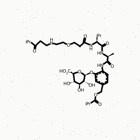 CC(C)C(=O)CCNCCOCCC(=O)N[C@H](C(=O)N[C@@H](C)C(=O)Nc1ccc(COC(=O)C(C)C)cc1O[C@@H]1O[C@H](C(=O)O)[C@@H](O)[C@H](O)[C@H]1O)C(C)C